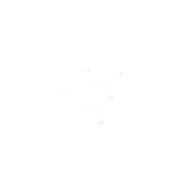 Fc1c(Br)c(Cl)nc2[nH]ccc12